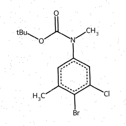 Cc1cc(N(C)C(=O)OC(C)(C)C)cc(Cl)c1Br